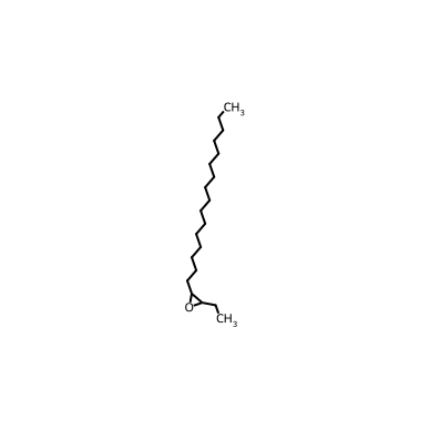 CCCCCCCCCCCCCCCCC1OC1CC